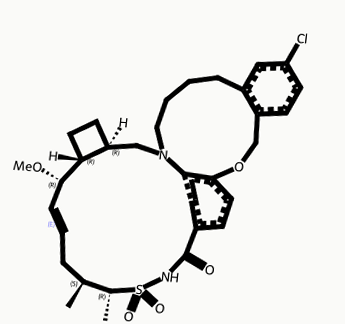 CO[C@H]1/C=C/C[C@H](C)[C@@H](C)S(=O)(=O)NC(=O)c2ccc3c(c2)N(CCCCc2cc(Cl)ccc2CO3)C[C@@H]2CC[C@H]21